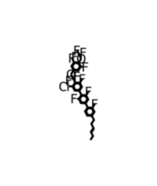 CC/C=C/CCc1ccc(-c2cc(F)c(-c3cc(F)c(C(F)(F)Oc4cc(F)c(OC(F)(F)F)c(F)c4)c(Cl)c3)c(F)c2)c(F)c1